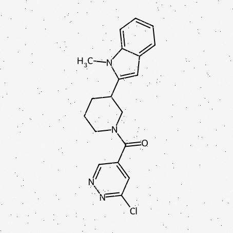 Cn1c(C2CCCN(C(=O)c3cnnc(Cl)c3)C2)cc2ccccc21